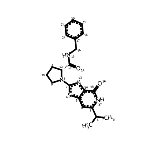 CC(C)c1cc2sc(N3CCC[C@@H]3C(=O)NCc3ccccc3)nc2c(=O)[nH]1